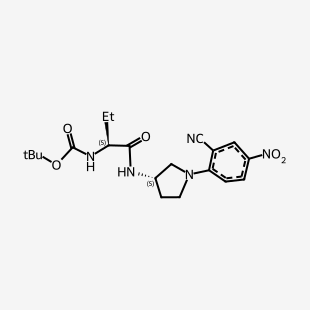 CC[C@H](NC(=O)OC(C)(C)C)C(=O)N[C@H]1CCN(c2ccc([N+](=O)[O-])cc2C#N)C1